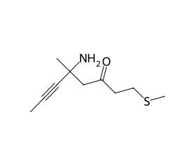 CC#CC(C)(N)CC(=O)CCSC